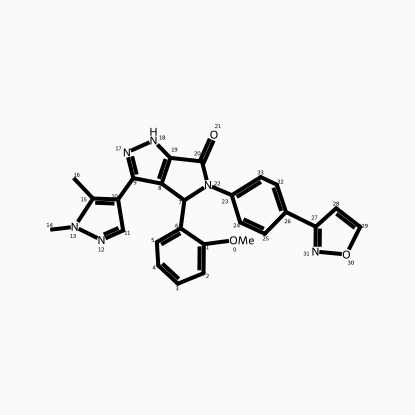 COc1ccccc1C1c2c(-c3cnn(C)c3C)n[nH]c2C(=O)N1c1ccc(-c2ccon2)cc1